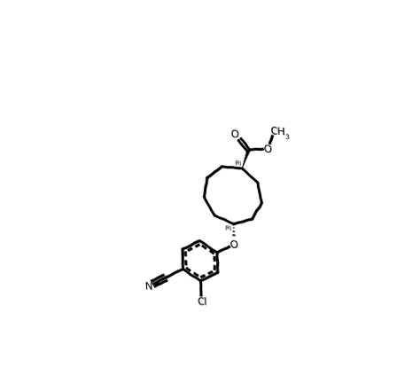 COC(=O)[C@@H]1CCCC[C@@H](Oc2ccc(C#N)c(Cl)c2)CCC1